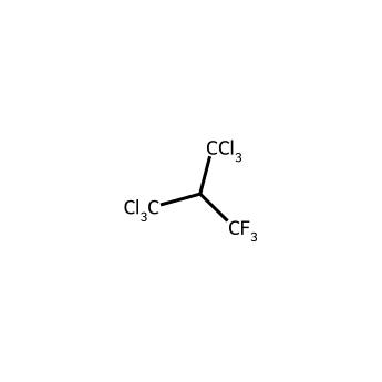 FC(F)(F)C(C(Cl)(Cl)Cl)C(Cl)(Cl)Cl